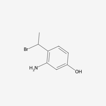 CC(Br)c1ccc(O)cc1N